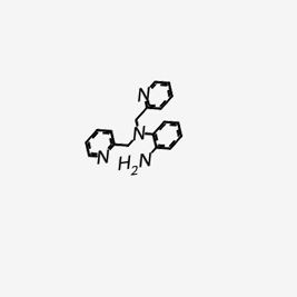 Nc1ccccc1N(Cc1ccccn1)Cc1ccccn1